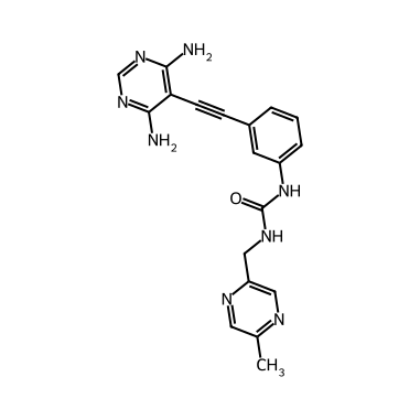 Cc1cnc(CNC(=O)Nc2cccc(C#Cc3c(N)ncnc3N)c2)cn1